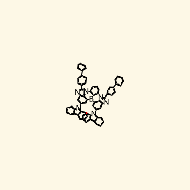 c1ccc(-c2ccc(-c3nc4cc(-n5c6ccccc6c6ccccc65)cc5c4n3-c3cccc4c3B5c3cc(-n5c6ccccc6c6ccccc65)cc5nc(-c6ccc(-c7ccccc7)cc6)n-4c35)cc2)cc1